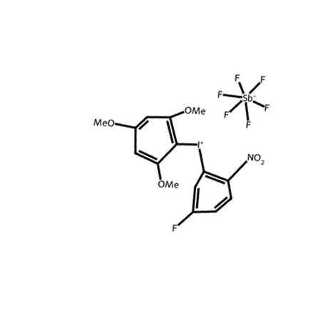 COc1cc(OC)c([I+]c2cc(F)ccc2[N+](=O)[O-])c(OC)c1.[F][Sb-]([F])([F])([F])([F])[F]